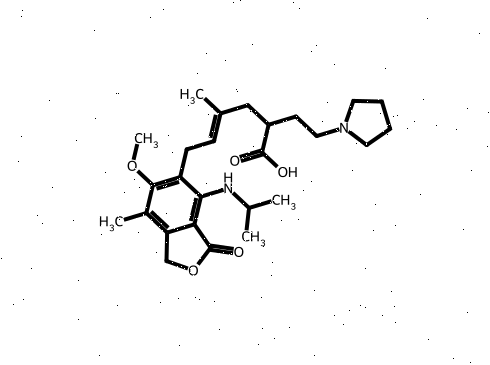 COc1c(C)c2c(c(NC(C)C)c1C/C=C(\C)CC(CCN1CCCC1)C(=O)O)C(=O)OC2